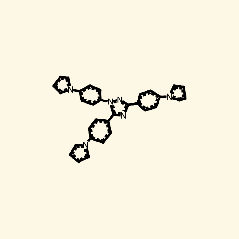 c1ccn(-c2ccc(-c3nc(-c4ccc(-n5cccc5)cc4)n(-c4ccc(-n5cccc5)cc4)n3)cc2)c1